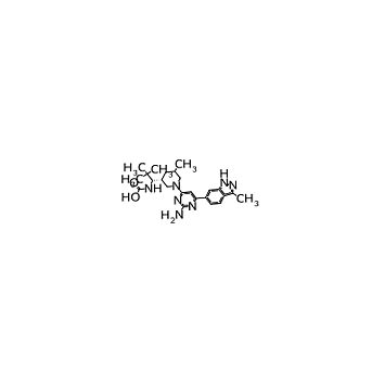 Cc1n[nH]c2cc(-c3cc(N4C[C@H](C)C[C@@H](C(NC(=O)O)C(C)(C)C)C4)nc(N)n3)ccc12